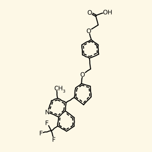 Cc1cnc2c(C(F)(F)F)cccc2c1-c1cccc(OCc2ccc(OCC(=O)O)cc2)c1